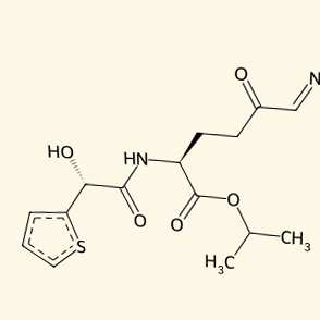 CC(C)OC(=O)[C@H](CCC(=O)C=N)NC(=O)[C@@H](O)c1cccs1